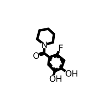 O=C(c1cc(O)c(O)cc1F)N1CCCCC1